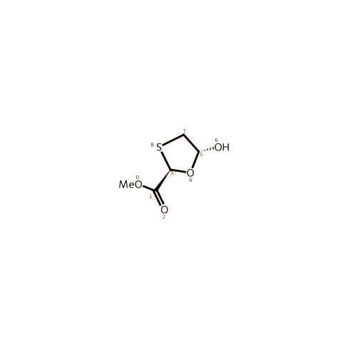 COC(=O)[C@@H]1O[C@@H](O)CS1